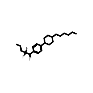 CCCCCCC1CCC(c2ccc(C(F)C(F)(F)CCC)cc2)CC1